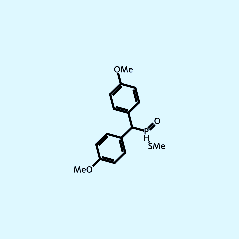 COc1ccc(C(c2ccc(OC)cc2)[PH](=O)SC)cc1